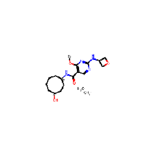 CCOc1nc(NC2COC2)ncc1C(=O)N[C@@H]1[CH]CCC[C@H](O)CC1.[CH2].[CH2]